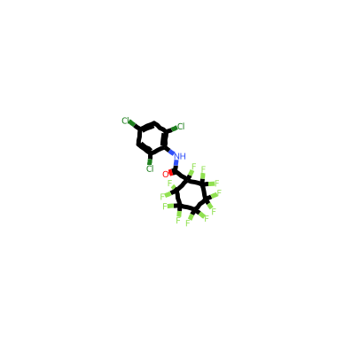 O=C(Nc1c(Cl)cc(Cl)cc1Cl)C1(F)C(F)(F)C(F)(F)C(F)(F)C(F)(F)C1(F)F